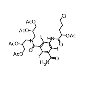 CC(=O)OCC(CN(CC(COC(C)=O)OC(C)=O)C(=O)c1c(I)c(NC(=O)C(CCCCl)OC(C)=O)c(I)c(C(N)=O)c1I)OC(C)=O